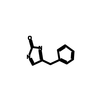 O=C1N=CC(Cc2ccccc2)=N1